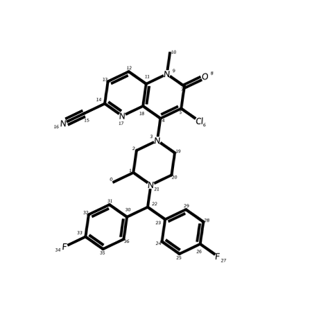 CC1CN(c2c(Cl)c(=O)n(C)c3ccc(C#N)nc23)CCN1C(c1ccc(F)cc1)c1ccc(F)cc1